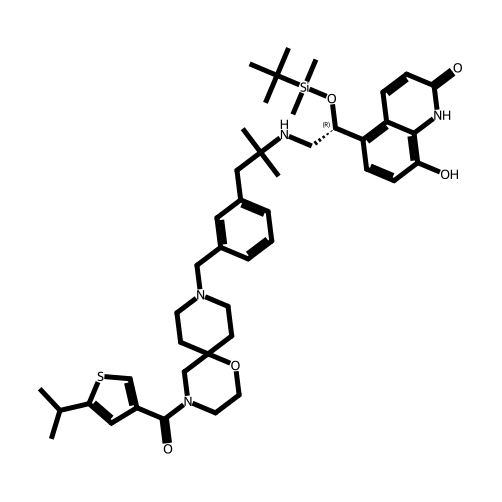 CC(C)c1cc(C(=O)N2CCOC3(CCN(Cc4cccc(CC(C)(C)NC[C@H](O[Si](C)(C)C(C)(C)C)c5ccc(O)c6[nH]c(=O)ccc56)c4)CC3)C2)cs1